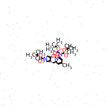 Cc1cc(C[C@@H]2CN(C(=O)OC(C)(C)C)C[C@@H]2O)nc(N(C(=O)OC(C)(C)C)C(=O)OC(C)(C)C)c1